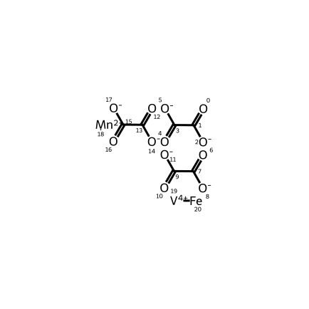 O=C([O-])C(=O)[O-].O=C([O-])C(=O)[O-].O=C([O-])C(=O)[O-].[Mn+2].[V+4][Fe]